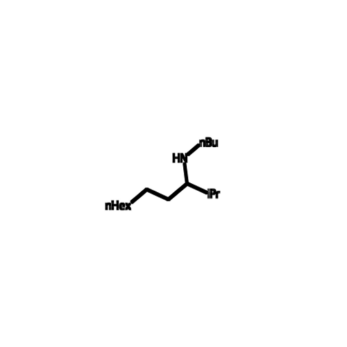 CCCCCCCCC(NCCCC)C(C)C